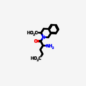 NC(CCC(=O)O)C(=O)N1Cc2ccccc2CC1C(=O)O